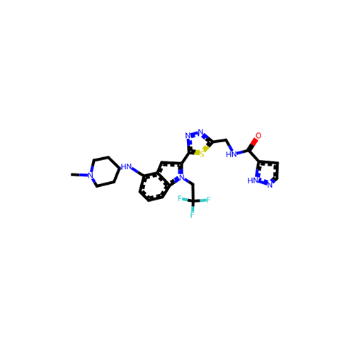 CN1CCC(Nc2cccc3c2cc(-c2nnc(CNC(=O)c4ccn[nH]4)s2)n3CC(F)(F)F)CC1